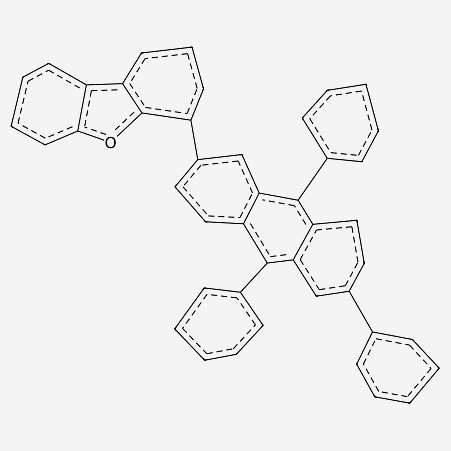 c1ccc(-c2ccc3c(-c4ccccc4)c4cc(-c5cccc6c5oc5ccccc56)ccc4c(-c4ccccc4)c3c2)cc1